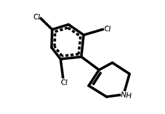 Clc1cc(Cl)c(C2=CCNCC2)c(Cl)c1